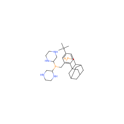 C[Si](C)(C)c1ccc(C23CC4CC(CC(C4)C2CP)C3)c(CP(C2CNCCN2)C2CNCCN2)c1